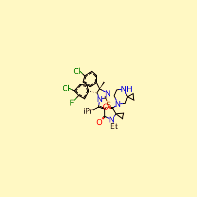 CCN(C(=O)C1=C(C(C)C)N2C(=N[C@@](C)(c3ccc(Cl)cc3)[C@H]2c2ccc(Cl)c(F)c2)S1)C1(C(=O)N2CCNC3(CC3)C2)CC1